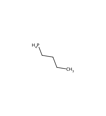 CCCC[PH4]